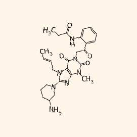 CC=CCn1c(N2CCCC(N)C2)nc2c1c(=O)n(CC(=O)c1ccccc1NC(=O)CC)c(=O)n2C